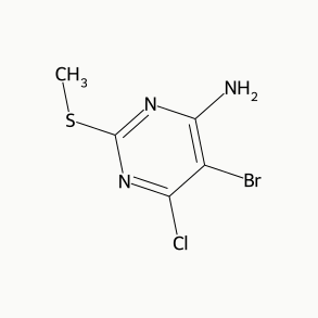 CSc1nc(N)c(Br)c(Cl)n1